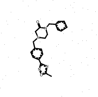 Cc1nc(-c2ccc(CN3CCN(Cc4ccccc4)C(=O)C3)cc2)no1